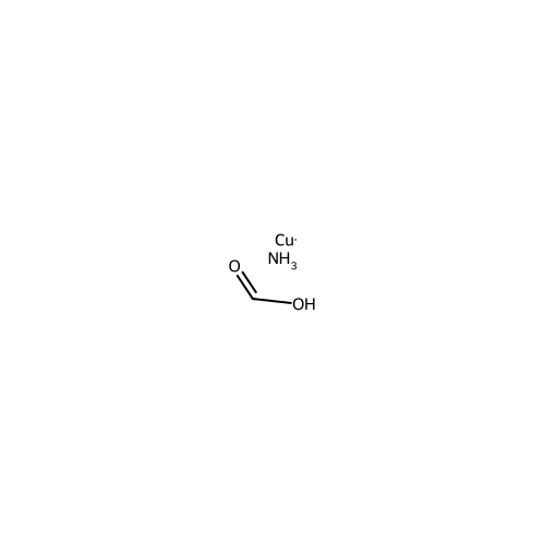 N.O=CO.[Cu]